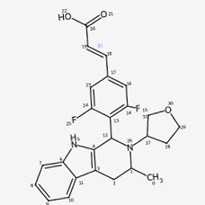 CC1Cc2c([nH]c3ccccc23)C(c2c(F)cc(/C=C/C(=O)O)cc2F)N1C1CCOC1